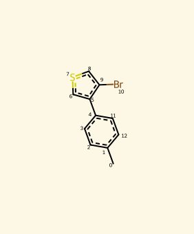 Cc1ccc(-c2cscc2Br)cc1